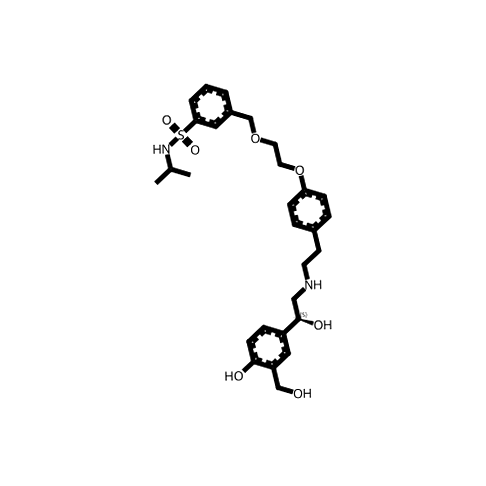 CC(C)NS(=O)(=O)c1cccc(COCCOc2ccc(CCNC[C@@H](O)c3ccc(O)c(CO)c3)cc2)c1